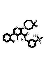 Cc1c(-c2ccccc2F)cnc(N2CCCC(F)(F)CC2)c1C(=O)Nc1cccc(S(C)(=N)=O)c1